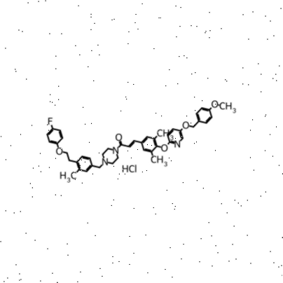 COc1ccc(COc2ccc(Oc3c(C)cc(/C=C/C(=O)N4CCN(Cc5ccc(CCOc6ccc(F)cc6)c(C)c5)CC4)cc3C)nc2)cc1.Cl